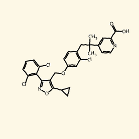 CC(C)(Cc1ccc(OCc2c(-c3c(Cl)cccc3Cl)noc2C2CC2)cc1Cl)c1ccnc(C(=O)O)c1